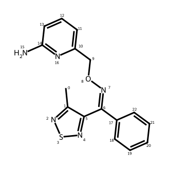 Cc1nsnc1C(=NOCc1cccc(N)n1)c1ccccc1